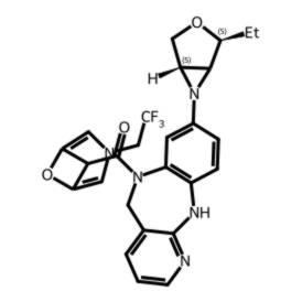 CC[C@@H]1OC[C@@H]2C1N2c1ccc2c(c1)N(C(=O)C1C3=CN(CC(F)(F)F)C=C1O3)Cc1cccnc1N2